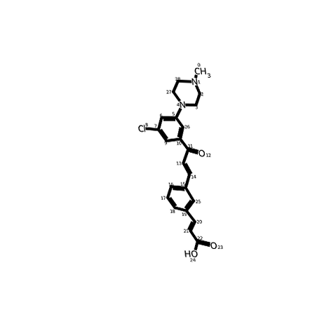 CN1CCN(c2cc(Cl)cc(C(=O)C=Cc3cccc(C=CC(=O)O)c3)c2)CC1